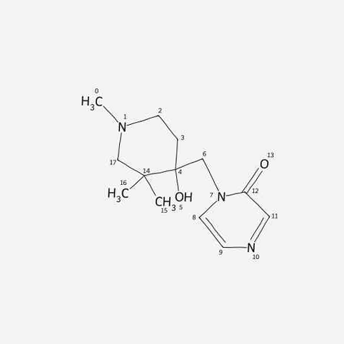 CN1CCC(O)(Cn2ccncc2=O)C(C)(C)C1